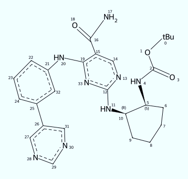 CC(C)(C)OC(=O)N[C@H]1CCCC[C@H]1Nc1ncc(C(N)=O)c(Nc2cccc(-c3cncnc3)c2)n1